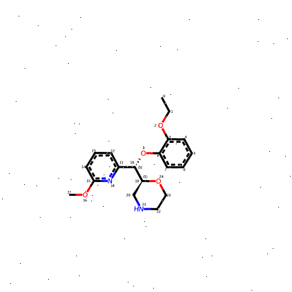 CCOc1ccccc1O[C@@H](c1cccc(OC)n1)[C@@H]1CNCCO1